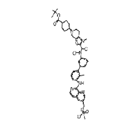 Cc1c(Nc2nccc3cc(COS(C)(=O)=O)cnc23)cccc1-c1cccc(N(Cl)C(=O)c2nc3c(n2C)CCN(C2CCC(C(=O)OC(C)(C)C)CC2)C3)c1